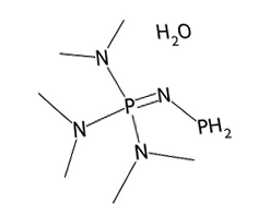 CN(C)P(=NP)(N(C)C)N(C)C.O